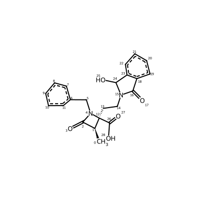 C[C@H]1C(=O)N(Cc2ccccc2)[C@@]1(CCN1C(=O)c2ccccc2C1O)C(=O)O